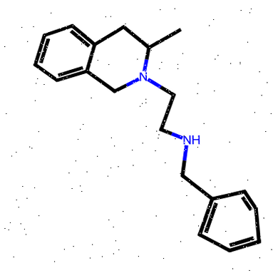 CC1Cc2ccccc2CN1CCNCc1ccccc1